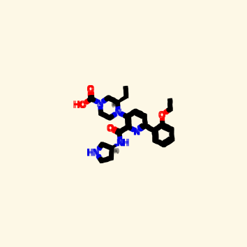 CCOc1ccccc1-c1ccc(N2CCN(C(=O)O)C[C@H]2CC)c(C(=O)N[C@@H]2CCNC2)n1